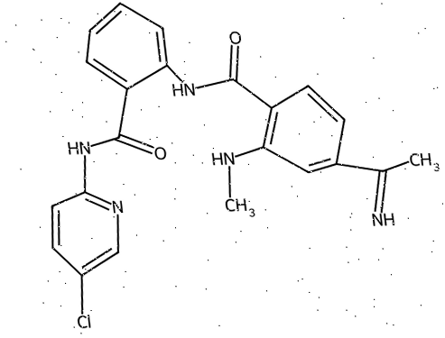 CNc1cc(C(C)=N)ccc1C(=O)Nc1ccccc1C(=O)Nc1ccc(Cl)cn1